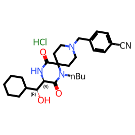 CCCCN1C(=O)[C@@H]([C@H](O)C2CCCCC2)NC(=O)C12CCN(Cc1ccc(C#N)cc1)CC2.Cl